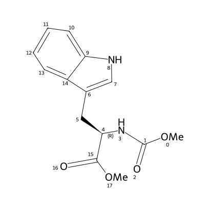 COC(=O)N[C@H](Cc1c[nH]c2ccccc12)C(=O)OC